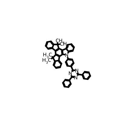 CC1(C)c2ccccc2-c2c1c1c(c3c4ccccc4n(-c4ccc(-c5nc(-c6ccccc6)nc(-c6ccccc6)n5)cc4)c23)C(C)(C)c2ccccc2-1